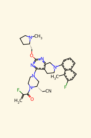 C=C(F)C(=O)N1CCN(c2nc(OC[C@@H]3CCCN3C)nc3c2CCN(c2cccc4ccc(F)c(C)c24)C3)C[C@@H]1CC#N